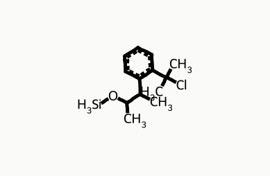 CC(O[SiH3])C(C)c1ccccc1C(C)(C)Cl